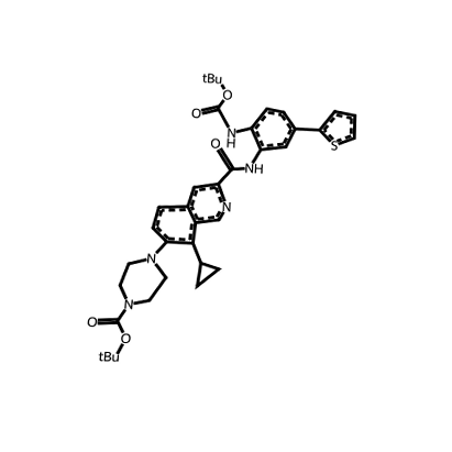 CC(C)(C)OC(=O)Nc1ccc(-c2cccs2)cc1NC(=O)c1cc2ccc(N3CCN(C(=O)OC(C)(C)C)CC3)c(C3CC3)c2cn1